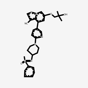 CC(C)(O)COc1cc(-c2ccc(N3CCC(N=S(C)(=O)c4ccccc4)CC3)nc2)c2c(C#N)cnn2c1